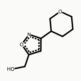 OCc1cc(C2CCCOC2)no1